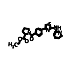 CCOC(=O)C1CCCN1C(=O)c1ccc(-c2csc(Nc3ccccn3)n2)cc1